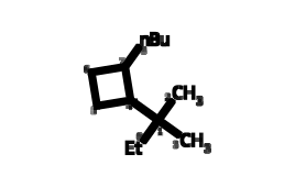 [CH2]CC(C)(C)[C]1CCC1CCCC